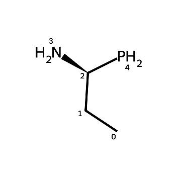 CC[C@@H](N)P